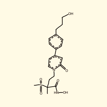 CC(CCn1ccc(-c2ccc(CCCO)cc2)cc1=O)(C(=O)NO)S(C)(=O)=O